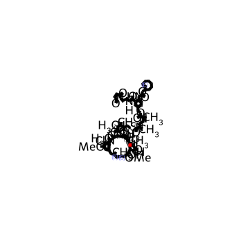 COc1cc2cc(c1Cl)N(C)C(=O)C[C@H](OC(=O)[C@H](C)N(C)C(=O)CCSC(=O)N(C)CCN(C)C(=O)OCc1ccc(NC(=O)OC3/C=C/CCCCC3)c(C(=O)NCCN3C(=O)C=CC3=O)c1)C1(C)O[C@H]1[C@H](C)[C@@H]1C[C@@](O)(NC(=O)O1)[C@H](OC)/C=C/C=C(\C)C2